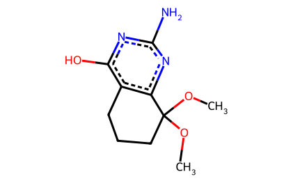 COC1(OC)CCCc2c(O)nc(N)nc21